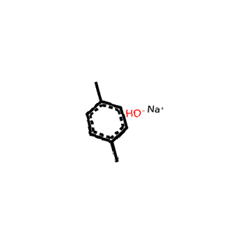 Cc1ccc(C)cc1.[Na+].[OH-]